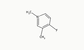 Cc1c[n+](C)ccc1F